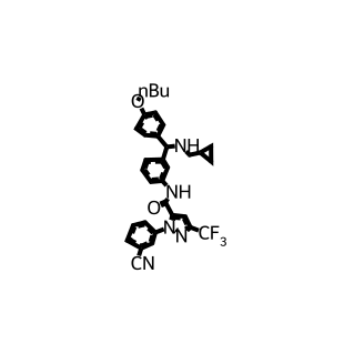 CCCCOc1ccc(C(NCC2CC2)c2cccc(NC(=O)c3cc(C(F)(F)F)nn3-c3cccc(C#N)c3)c2)cc1